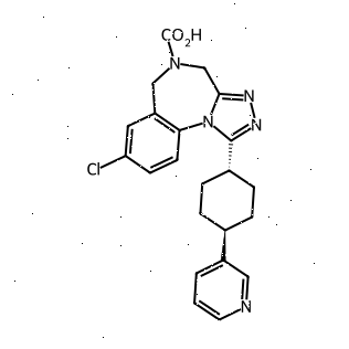 O=C(O)N1Cc2cc(Cl)ccc2-n2c(nnc2[C@H]2CC[C@H](c3cccnc3)CC2)C1